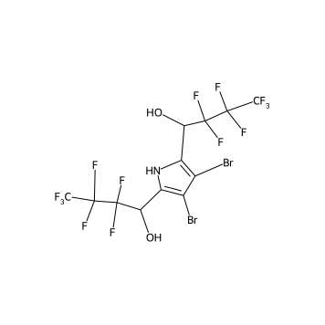 OC(c1[nH]c(C(O)C(F)(F)C(F)(F)C(F)(F)F)c(Br)c1Br)C(F)(F)C(F)(F)C(F)(F)F